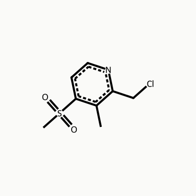 Cc1c(S(C)(=O)=O)ccnc1CCl